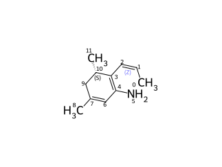 C/C=C\C1=C(N)C=C(C)C[C@@H]1C